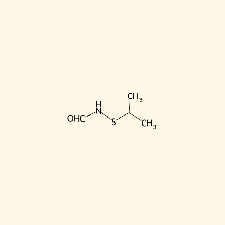 CC(C)SNC=O